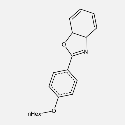 CCCCCCOc1ccc(C2=NC3C=CC=CC3O2)cc1